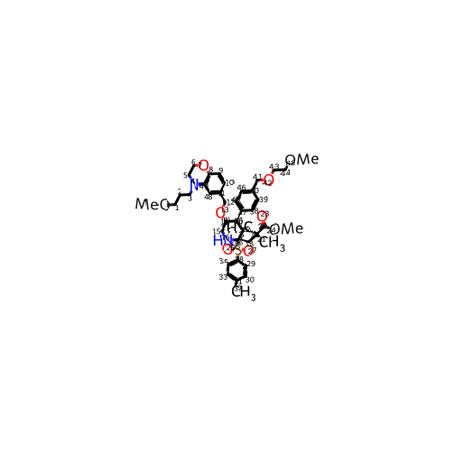 COCCCN1CCOc2ccc(CO[C@H]3CN[C@@](CC(C)(C)C(=O)OC)(S(=O)(=O)c4ccc(C)cc4)C[C@@H]3c3ccc(COCCOC)cc3)cc21